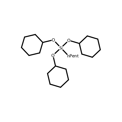 CCCCC[Si](OC1CCCCC1)(OC1CCCCC1)OC1CCCCC1